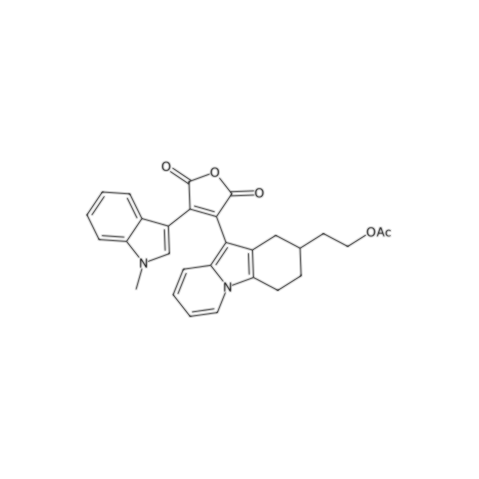 CC(=O)OCCC1CCc2c(c(C3=C(c4cn(C)c5ccccc45)C(=O)OC3=O)c3ccccn23)C1